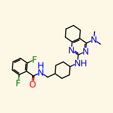 CN(C)c1nc(NC2CCC(CNC(=O)c3c(F)cccc3F)CC2)nc2c1CCCC2